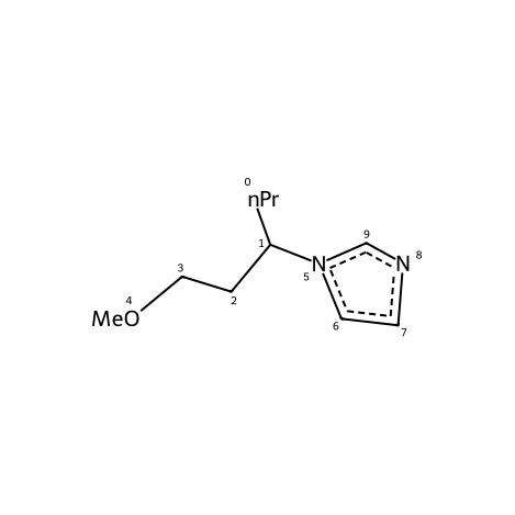 CCCC(CCOC)n1ccnc1